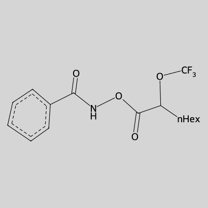 CCCCCCC(OC(F)(F)F)C(=O)ONC(=O)c1ccccc1